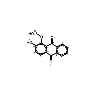 O=C1c2ccccc2C(=O)c2c1ccc(O)c2OS(=O)(=O)O